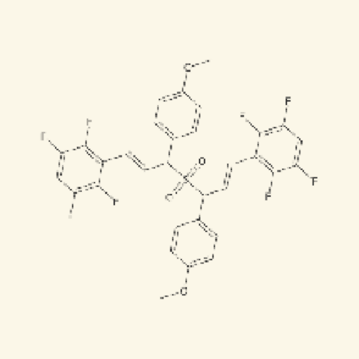 COc1ccc(C(C=Cc2c(F)c(F)cc(F)c2F)S(=O)(=O)C(C=Cc2c(F)c(F)cc(F)c2F)c2ccc(OC)cc2)cc1